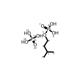 CC(C)CCOP(=O)(O)O.O=P(O)(O)O